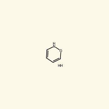 C1=CNOC=C1.[HH]